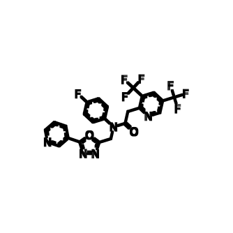 O=C(Cc1ncc(C(F)(F)F)cc1C(F)(F)F)N(Cc1nnc(-c2cccnc2)o1)c1ccc(F)cc1